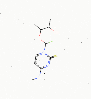 CNc1ccn(C(F)OC(C)C(C)O)c(=S)n1